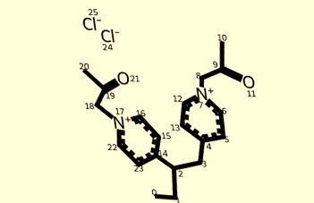 CCC(Cc1cc[n+](CC(C)=O)cc1)c1cc[n+](CC(C)=O)cc1.[Cl-].[Cl-]